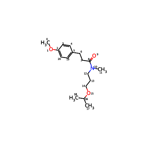 COc1ccc(CCC(=O)N(C)CCCOC(C)C)cc1